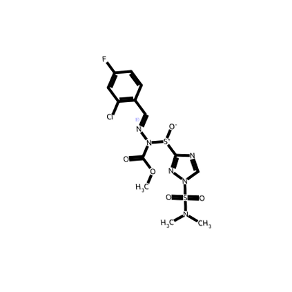 COC(=O)N(/N=C/c1ccc(F)cc1Cl)[S+]([O-])c1ncn(S(=O)(=O)N(C)C)n1